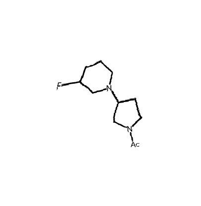 CC(=O)N1CCC(N2CCCC(F)C2)C1